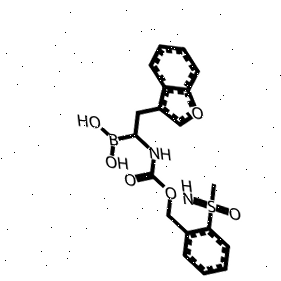 CS(=N)(=O)c1ccccc1COC(=O)NC(Cc1coc2ccccc12)B(O)O